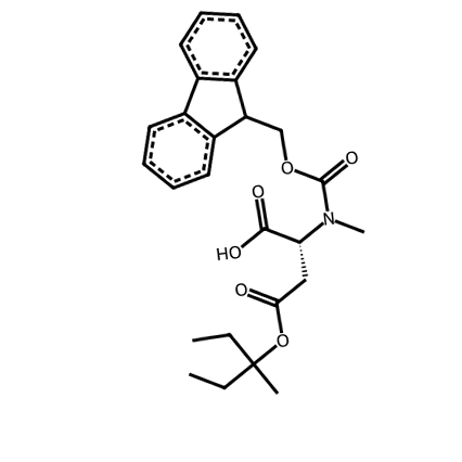 CCC(C)(CC)OC(=O)C[C@H](C(=O)O)N(C)C(=O)OCC1c2ccccc2-c2ccccc21